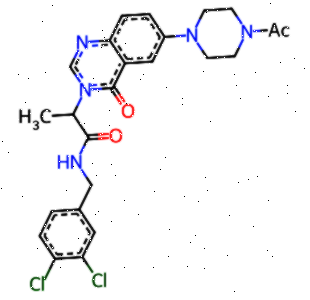 CC(=O)N1CCN(c2ccc3ncn(C(C)C(=O)NCc4ccc(Cl)c(Cl)c4)c(=O)c3c2)CC1